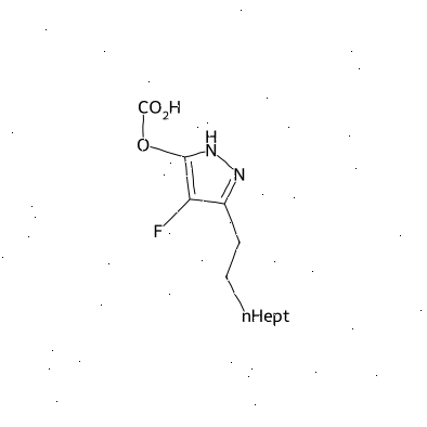 CCCCCCCCCc1n[nH]c(OC(=O)O)c1F